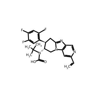 C=Cc1cc2c(cn1)nc1n2C[C@H](N(C(=O)O)C(C)(C)C)[C@@H](c2cc(F)c(F)cc2F)C1